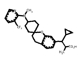 CC(C(=O)O)C(c1ccc2c(c1)OC1(CC2)CCC(N(C)c2ncccc2C(F)(F)F)CC1)C1CC1